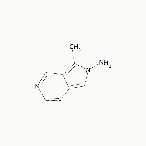 Cc1c2cnccc2cn1N